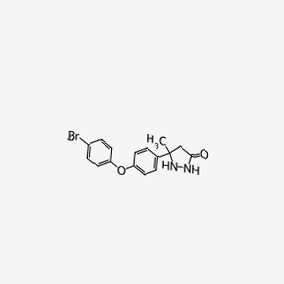 CC1(c2ccc(Oc3ccc(Br)cc3)cc2)CC(=O)NN1